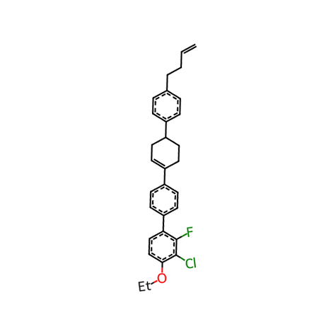 C=CCCc1ccc(C2CC=C(c3ccc(-c4ccc(OCC)c(Cl)c4F)cc3)CC2)cc1